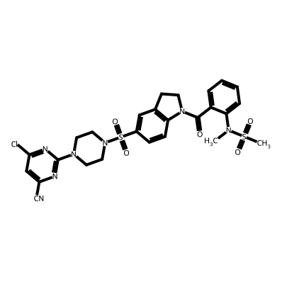 CN(c1ccccc1C(=O)N1CCc2cc(S(=O)(=O)N3CCN(c4nc(Cl)cc(C#N)n4)CC3)ccc21)S(C)(=O)=O